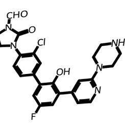 O=CN1CCN(c2ccc(-c3cc(F)cc(-c4ccnc(N5CCNCC5)c4)c3O)cc2Cl)C1=O